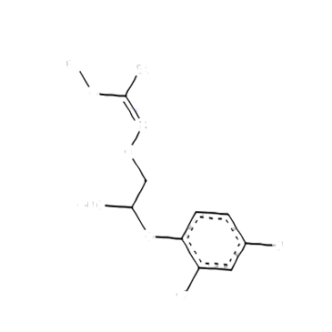 CCO/C(CC)=N\OCC(C=O)Oc1ccc(Cl)cc1Cl